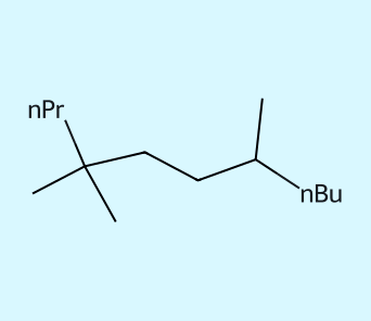 [CH2]CCCC(C)CCC(C)(C)CCC